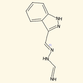 N=CN/N=C/c1n[nH]c2ccccc12